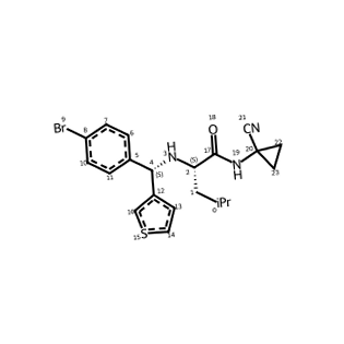 CC(C)C[C@H](N[C@@H](c1ccc(Br)cc1)c1ccsc1)C(=O)NC1(C#N)CC1